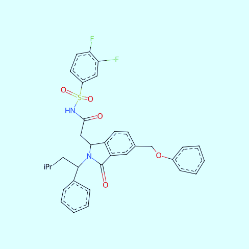 CC(C)CC(c1ccccc1)N1C(=O)c2cc(COc3ccccc3)ccc2C1CC(=O)NS(=O)(=O)c1ccc(F)c(F)c1